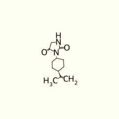 C=C(C)[C@H]1CC[C@H](N2C(=O)CNC2=O)CC1